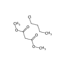 CCCCCl.COC(=O)CC(=O)OC